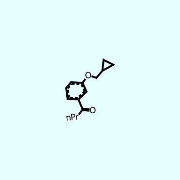 CCCC(=O)c1cccc(OCC2CC2)c1